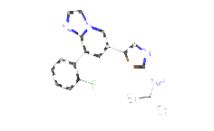 CCC(CC)Nc1ncc(-c2cc(-c3ccccc3F)c3nccn3c2)s1